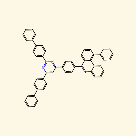 c1ccc(-c2ccc(-c3cc(-c4ccc(-c5nc6ccccc6c6c(-c7ccccc7)cccc56)cc4)nc(-c4ccc(-c5ccccc5)cc4)n3)cc2)cc1